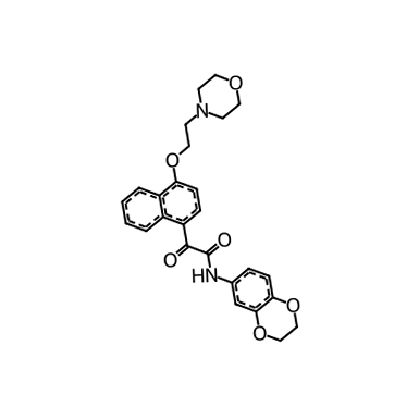 O=C(Nc1ccc2c(c1)OCCO2)C(=O)c1ccc(OCCN2CCOCC2)c2ccccc12